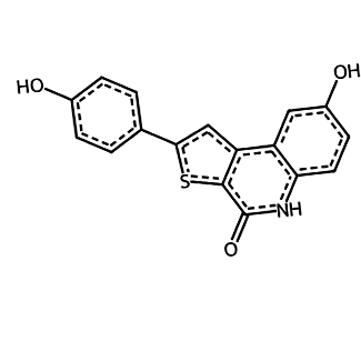 O=c1[nH]c2ccc(O)cc2c2cc(-c3ccc(O)cc3)sc12